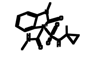 CNC(=O)[N+]1(S(=O)(=O)NC2(C)CC2)C(=O)N(C)c2ccccc21